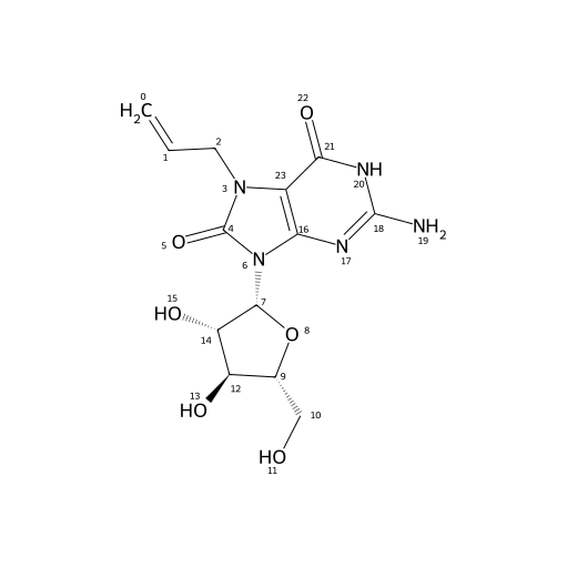 C=CCn1c(=O)n([C@@H]2O[C@H](CO)[C@@H](O)[C@@H]2O)c2nc(N)[nH]c(=O)c21